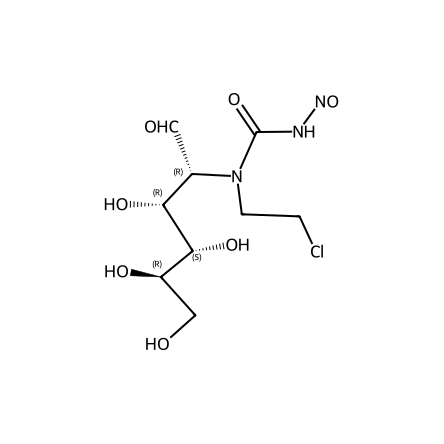 O=C[C@@H]([C@@H](O)[C@H](O)[C@H](O)CO)N(CCCl)C(=O)NN=O